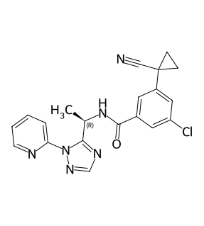 C[C@@H](NC(=O)c1cc(Cl)cc(C2(C#N)CC2)c1)c1ncnn1-c1ccccn1